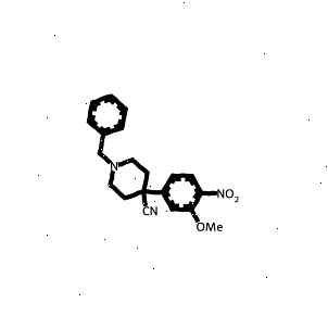 COc1cc(C2(C#N)CCN(Cc3ccccc3)CC2)ccc1[N+](=O)[O-]